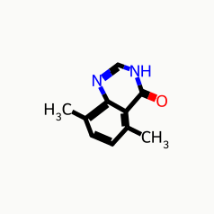 Cc1ccc(C)c2c(=O)[nH]cnc12